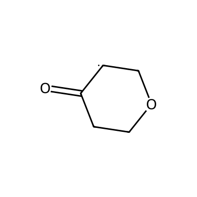 O=C1[CH]COCC1